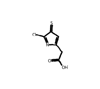 O=C(O)CC1=CC(=S)C(Cl)=N1